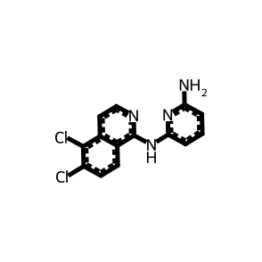 Nc1cccc(Nc2nccc3c(Cl)c(Cl)ccc23)n1